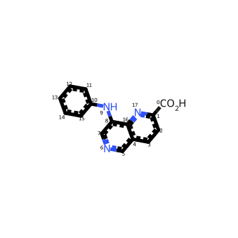 O=C(O)c1ccc2cncc(Nc3ccccc3)c2n1